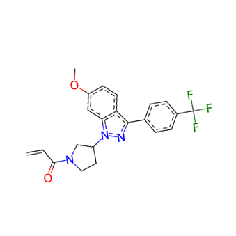 C=CC(=O)N1CCC(n2nc(-c3ccc(C(F)(F)F)cc3)c3ccc(OC)cc32)C1